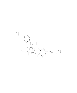 Cc1cc(/C=C/C#N)cc(C)c1Nc1nc(Nc2ccc(C#N)cc2)nc(N(C)C)n1